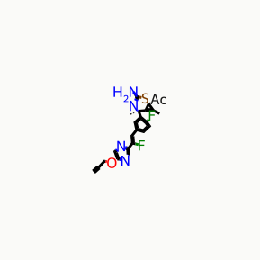 C#CCOc1cnc(/C(F)=C/c2ccc(F)c([C@@]3(C)N=C(N)S[C@@]4(C(C)=O)C(C)=C43)c2)cn1